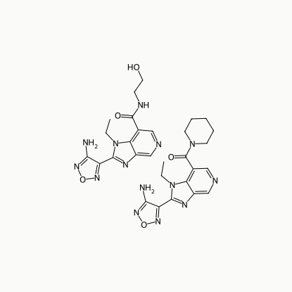 CCn1c(-c2nonc2N)nc2cncc(C(=O)N3CCCCC3)c21.CCn1c(-c2nonc2N)nc2cncc(C(=O)NCCO)c21